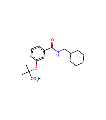 CC(C)(Oc1cccc(C(=O)NCC2CCCCC2)c1)C(=O)O